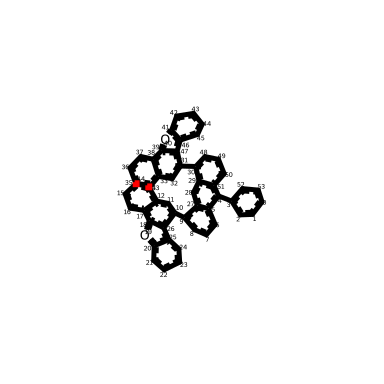 c1ccc(-c2c3cccc(-c4cc5ccccc5c5oc6ccccc6c45)c3cc3c(-c4cc5ccccc5c5oc6ccccc6c45)cccc23)cc1